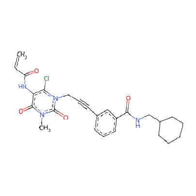 C=CC(=O)Nc1c(Cl)n(CC#Cc2cccc(C(=O)NCC3CCCCC3)c2)c(=O)n(C)c1=O